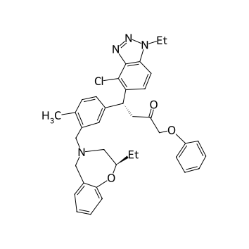 CC[C@@H]1CN(Cc2cc([C@@H](CC(=O)COc3ccccc3)c3ccc4c(nnn4CC)c3Cl)ccc2C)Cc2ccccc2O1